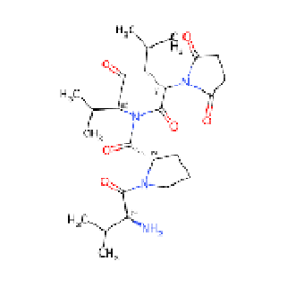 CC(C)C[C@@H](C(=O)N(C(=O)[C@@H]1CCCN1C(=O)[C@@H](N)C(C)C)[C@H](C=O)C(C)C)N1C(=O)CCC1=O